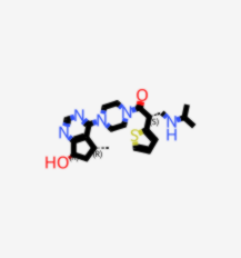 CC(C)NC[C@@H](C(=O)N1CCN(c2ncnc3c2[C@H](C)C[C@H]3O)CC1)c1cccs1